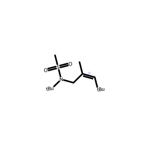 C/C(=C/C(C)(C)C)CN(C(C)(C)C)S(C)(=O)=O